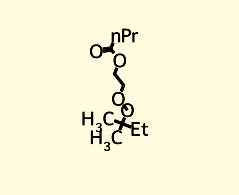 CCCC(=O)OCCOOC(C)(C)CC